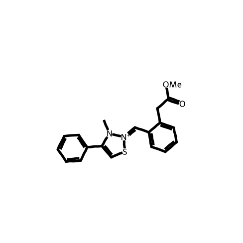 COC(=O)Cc1ccccc1C=[N+]1SC=C(c2ccccc2)N1C